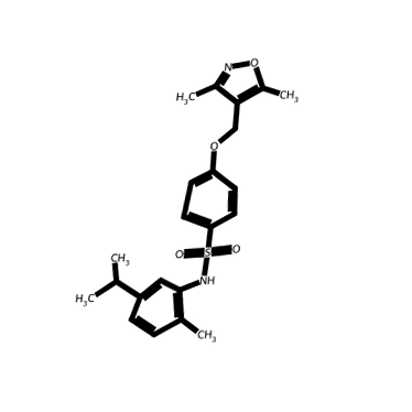 Cc1ccc(C(C)C)cc1NS(=O)(=O)c1ccc(OCc2c(C)noc2C)cc1